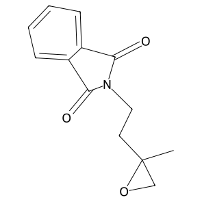 CC1(CCN2C(=O)c3ccccc3C2=O)CO1